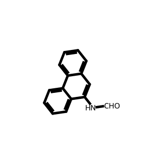 O=CNc1cc2ccccc2c2ccccc12